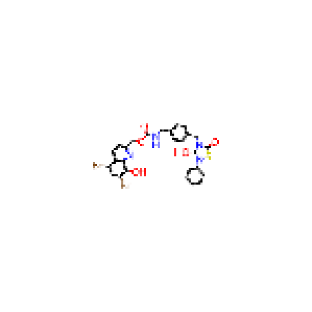 O=C(NCc1ccc(CN2C(=O)SN(c3ccccc3)C2O)cc1)OCc1ccc2c(Br)cc(Br)c(O)c2n1